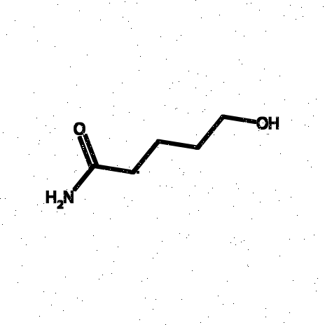 NC(=O)[CH]CCCO